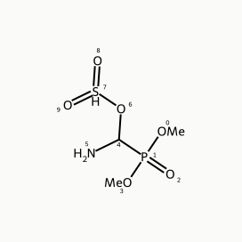 COP(=O)(OC)C(N)O[SH](=O)=O